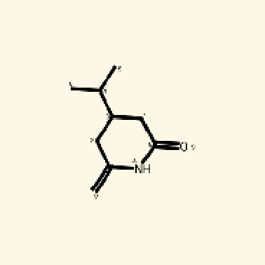 C=C1CC(C(C)C)CC(=O)N1